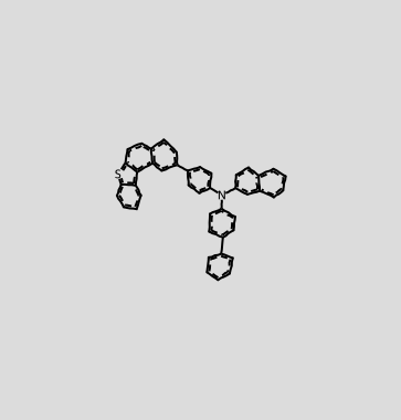 c1ccc(-c2ccc(N(c3ccc(-c4ccc5ccc6sc7ccccc7c6c5c4)cc3)c3ccc4ccccc4c3)cc2)cc1